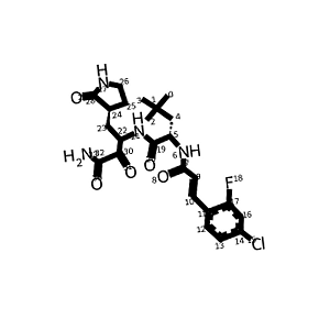 CC(C)(C)C[C@H](NC(=O)/C=C/c1ccc(Cl)cc1F)C(=O)NC(C[C@@H]1CCNC1=O)C(=O)C(N)=O